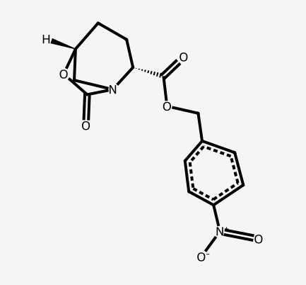 O=C(OCc1ccc([N+](=O)[O-])cc1)[C@H]1CC[C@@H]2CN1C(=O)O2